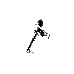 CCCCCCCCCCCCCCCCCC(=O)OCC(COC(=O)[C@@H](N)C(C)C)OCc1nc2ncncc2[nH]1